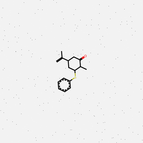 C=C(C)C1CC(=O)C(C)C(Sc2ccccc2)C1